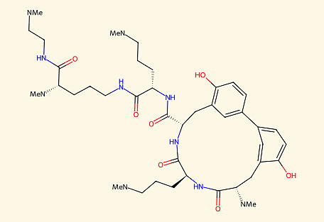 CNCCC[C@H](NC(=O)[C@@H]1Cc2cc(ccc2O)-c2ccc(O)c(c2)C[C@H](NC)C(=O)N[C@@H](CCCNC)C(=O)N1)C(=O)NCCC[C@H](NC)C(=O)NCCNC